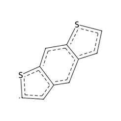 [c]1cc2cc3ccsc3cc2s1